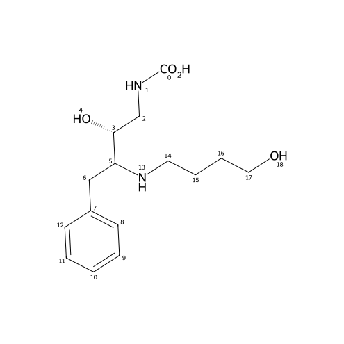 O=C(O)NC[C@@H](O)C(Cc1ccccc1)NCCCCO